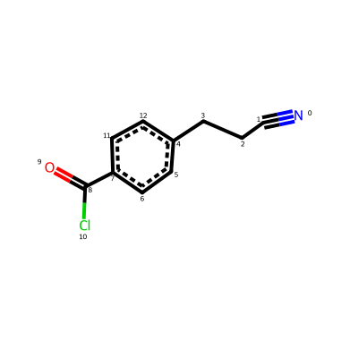 N#CCCc1ccc(C(=O)Cl)cc1